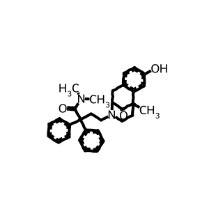 CN(C)C(=O)C(CCN1CCC2(C)C(=O)C1Cc1ccc(O)cc12)(c1ccccc1)c1ccccc1